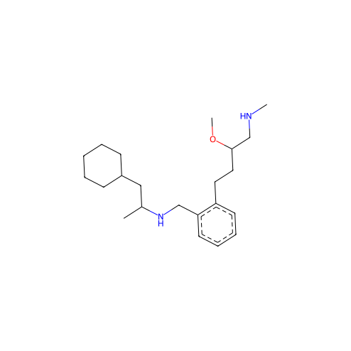 CNCC(CCc1ccccc1CNC(C)CC1CCCCC1)OC